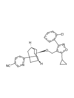 N#Cc1ccc(C23C[C@H]4CC2[C@H](C[C@@H](OCc2c(-c5ccccc5Cl)noc2C2CC2)C4)C3)nc1